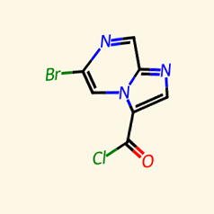 O=C(Cl)c1cnc2cnc(Br)cn12